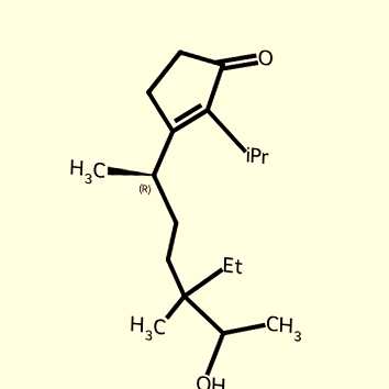 CCC(C)(CC[C@@H](C)C1=C(C(C)C)C(=O)CC1)C(C)O